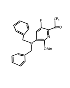 COc1nc(C(=O)C(F)(F)F)c(F)cc1N(Cc1ccccc1)Cc1ccccc1